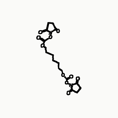 O=C(OCCCCCCCOC(=O)ON1C(=O)CCC1=O)ON1C(=O)CCC1=O